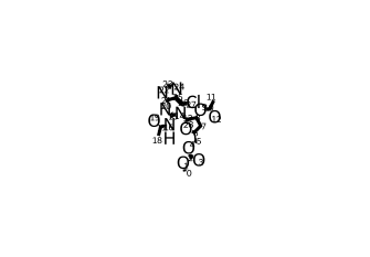 COC(=O)OC[C@@H]1C[C@@H](OC(C)=O)[C@H](n2c(NC(C)=O)nc3ncnc-3c2Cl)O1